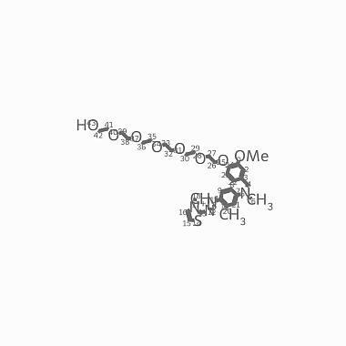 COc1cc(CN(C)c2ccc(/N=N/c3scc[n+]3C)c(C)c2)ccc1OCCOCCOCCOCCOCCOCCO